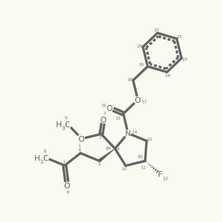 COC(=O)[C@@]1(CCC(C)=O)C[C@@H](F)CN1C(=O)OCc1ccccc1